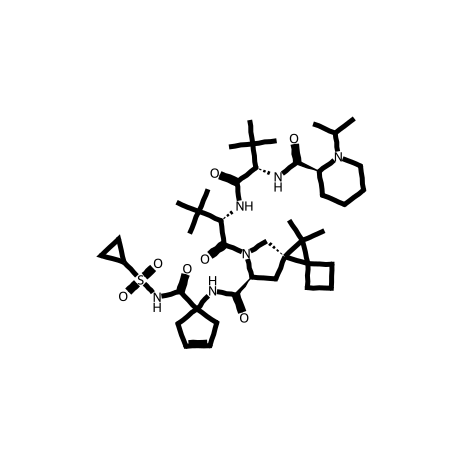 CC(C)N1CCCC[C@H]1C(=O)N[C@H](C(=O)N[C@H](C(=O)N1C[C@]2(C[C@H]1C(=O)NC1(C(=O)NS(=O)(=O)C3CC3)CC=CC1)C(C)(C)C21CCC1)C(C)(C)C)C(C)(C)C